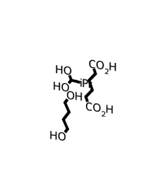 CC(C)C(O)O.O=C(O)CCCCC(=O)O.OCCCCO